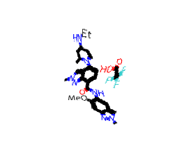 CCNC1CCN(c2ccc(C(=O)Nc3cc4cn(C)nc4cc3OC)c3nn(C)cc23)C(C)C1.O=C(O)C(F)(F)F